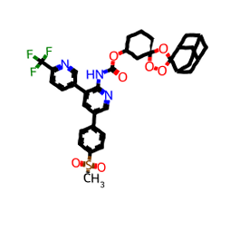 CS(=O)(=O)c1ccc(-c2cnc(NC(=O)OC3CCC[C@]4(C3)OOC3(O4)C4CC5CC(C4)CC3C5)c(-c3ccc(C(F)(F)F)nc3)c2)cc1